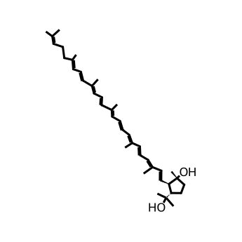 CC(C)=CCC/C(C)=C/C=C/C(C)=C/C=C/C(C)=C/C=C/C=C(C)/C=C/C=C(C)/C=C/[C@@H]1[C@@H](C(C)(C)O)CC[C@@]1(C)O